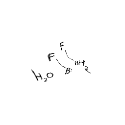 BF.O.[B]F